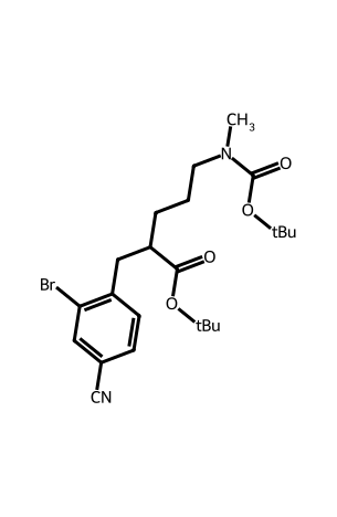 CN(CCCC(Cc1ccc(C#N)cc1Br)C(=O)OC(C)(C)C)C(=O)OC(C)(C)C